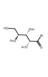 CC(=O)O[C@@H]([C@H](CO)OC(C)=O)[C@@H](OC(C)=O)C(=O)Br